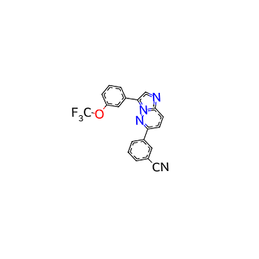 N#Cc1cccc(-c2ccc3ncc(-c4cccc(OC(F)(F)F)c4)n3n2)c1